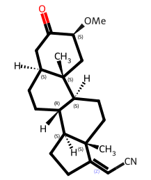 CO[C@H]1C[C@@]2(C)[C@@H](CC[C@@H]3[C@@H]2CC[C@]2(C)/C(=C\C#N)CC[C@@H]32)CC1=O